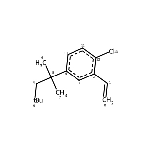 C=Cc1cc(C(C)(C)CC(C)(C)C)ccc1Cl